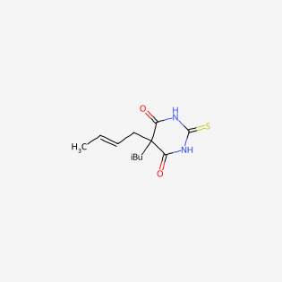 CC=CCC1(C(C)CC)C(=O)NC(=S)NC1=O